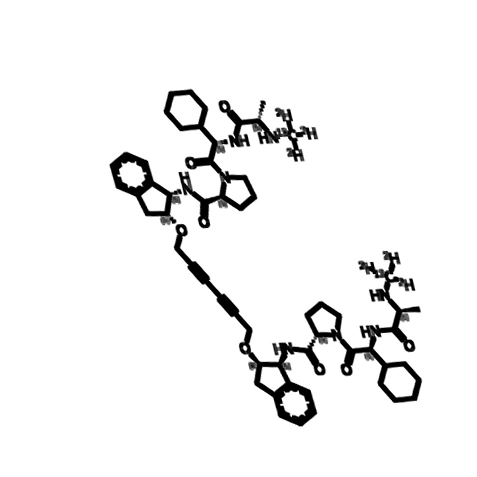 [2H][13C]([2H])([2H])N[C@@H](C)C(=O)N[C@H](C(=O)N1CCC[C@H]1C(=O)N[C@H]1c2ccccc2C[C@H]1OCC#CC#CCO[C@@H]1Cc2ccccc2[C@@H]1NC(=O)[C@@H]1CCCN1C(=O)[C@@H](NC(=O)[C@H](C)N[13C]([2H])([2H])[2H])C1CCCCC1)C1CCCCC1